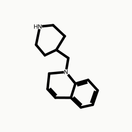 C1=Cc2ccccc2N(CC2CCNCC2)C1